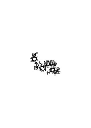 COc1ccc(CN2CCc3c(ccnc3-c3cc(C(c4cc(F)cc(C(F)(F)F)c4)C(F)(F)F)ncn3)C2=O)cc1